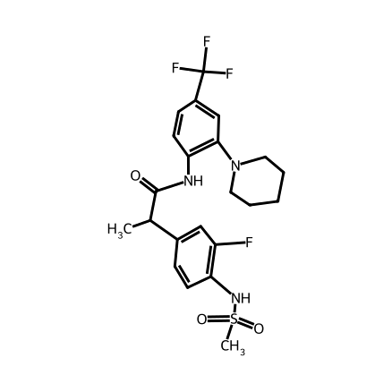 CC(C(=O)Nc1ccc(C(F)(F)F)cc1N1CCCCC1)c1ccc(NS(C)(=O)=O)c(F)c1